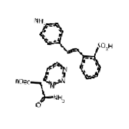 CCCCCCCCCCCC(N)=O.N.O=S(=O)(O)c1ccccc1C=Cc1ccccc1.c1cnnnc1